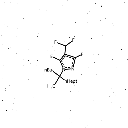 CCCCCCCC(C)(CCCC)n1nc(F)c(C(F)F)c1F